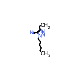 CCCCCCn1nnc(CC)c1C#N